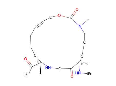 CC(C)N[C@]1(C)CCCN(C)C(=O)OCC=CCCC[C@@](C)(C(=O)C(C)C)NCC1=O